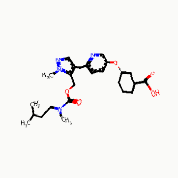 CC(C)CCN(C)C(=O)OCc1c(-c2ccc(O[C@H]3CCCC(C(=O)O)C3)cn2)cnn1C